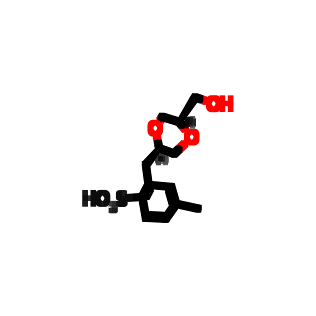 Cc1ccc(S(=O)(=O)O)c(C[C@@H]2CO[C@H](CO)CO2)c1